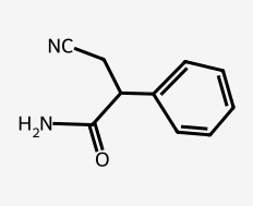 N#CCC(C(N)=O)c1ccccc1